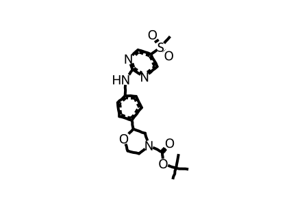 CC(C)(C)OC(=O)N1CCOC(c2ccc(Nc3ncc(S(C)(=O)=O)cn3)cc2)C1